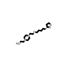 OCCN1CCN(CCOCCCCC[C@@H]2CCSS2)CC1